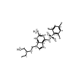 CC[C@@H](CO)OCn1cnc2c(OS(=O)(=O)c3c(C)cc(C)cc3C)nc(N)nc21